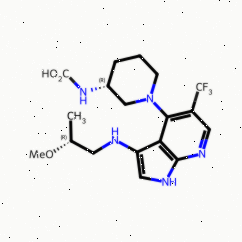 CO[C@H](C)CNc1c[nH]c2ncc(C(F)(F)F)c(N3CCC[C@@H](NC(=O)O)C3)c12